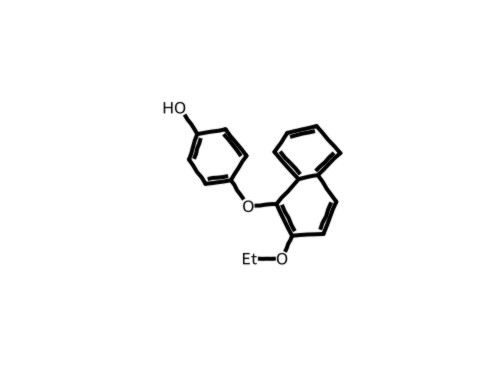 CCOc1ccc2ccccc2c1Oc1ccc(O)cc1